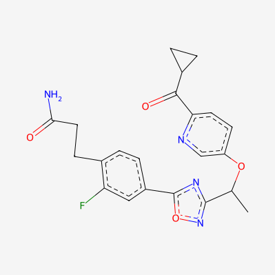 CC(Oc1ccc(C(=O)C2CC2)nc1)c1noc(-c2ccc(CCC(N)=O)c(F)c2)n1